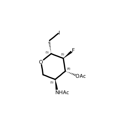 CC(=O)N[C@H]1CO[C@H](CI)[C@@H](F)[C@@H]1OC(C)=O